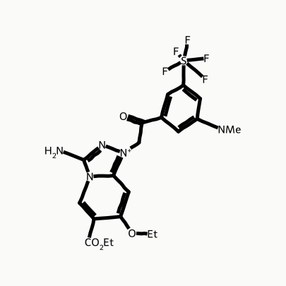 CCOC(=O)c1cn2c(N)n[n+](CC(=O)c3cc(NC)cc(S(F)(F)(F)(F)F)c3)c2cc1OCC